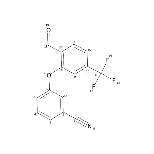 N#Cc1cccc(Oc2cc(C(F)(F)F)ccc2C=O)c1